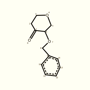 O=C1CCOCC1OCc1ccccc1